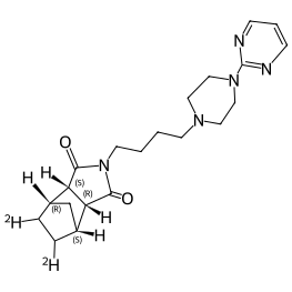 [2H]C1C([2H])[C@@H]2C[C@H]1[C@@H]1C(=O)N(CCCCN3CCN(c4ncccn4)CC3)C(=O)[C@@H]12